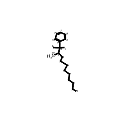 CCCCCCCCCC(N)C(C)(C)c1ccccc1